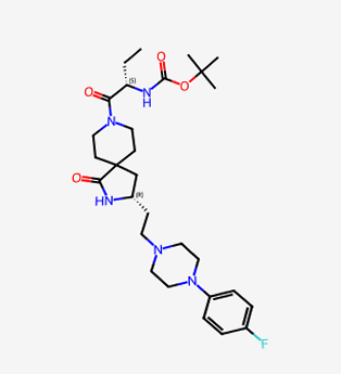 CC[C@H](NC(=O)OC(C)(C)C)C(=O)N1CCC2(CC1)C[C@H](CCN1CCN(c3ccc(F)cc3)CC1)NC2=O